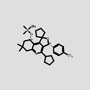 CC1(C)Cc2nc(C3CCCC3)c3c(c2[C@@H](O[Si](C)(C)C(C)(C)C)C1)C1(CCCC1)O[C@@H]3c1ccc(C(F)(F)F)cc1